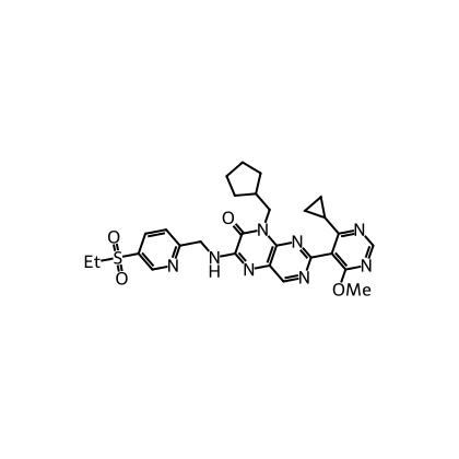 CCS(=O)(=O)c1ccc(CNc2nc3cnc(-c4c(OC)ncnc4C4CC4)nc3n(CC3CCCC3)c2=O)nc1